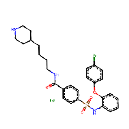 Cl.O=C(NCCCCC1CCNCC1)c1ccc(S(=O)(=O)Nc2ccccc2Oc2ccc(Br)cc2)cc1